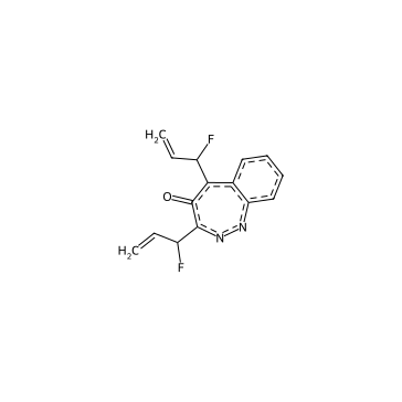 C=CC(F)c1nnc2ccccc2c(C(F)C=C)c1=O